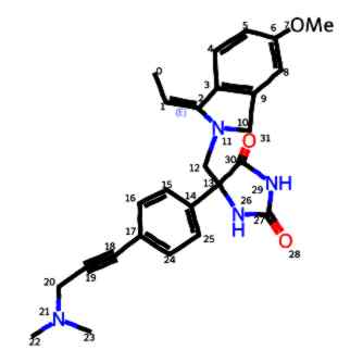 C/C=C1\c2ccc(OC)cc2CN1CC1(c2ccc(C#CCN(C)C)cc2)NC(=O)NC1=O